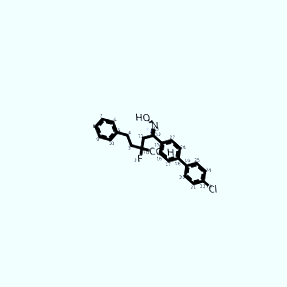 O=C(O)C(F)(CCc1ccccc1)C/C(=N\O)c1ccc(-c2ccc(Cl)cc2)cc1